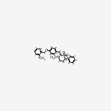 Cc1cccnc1COc1ccc(CN2[C@@H](C)CCC(c3ccccc3)S2(=O)=O)cc1